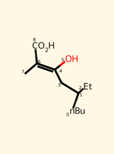 CCCCC(CC)CC(O)=C(C)C(=O)O